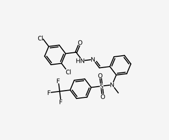 CN(c1ccccc1/C=N/NC(=O)c1cc(Cl)ccc1Cl)S(=O)(=O)c1ccc(C(F)(F)F)cc1